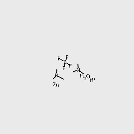 CN(C)C.CN(C)C.F[B-](F)(F)F.O.[H+].[Zn]